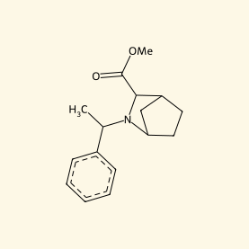 COC(=O)C1C2CCC(C2)N1C(C)c1ccccc1